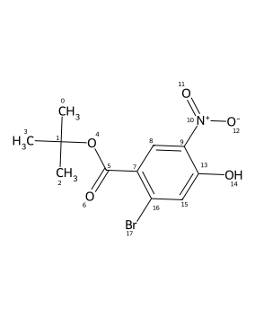 CC(C)(C)OC(=O)c1cc([N+](=O)[O-])c(O)cc1Br